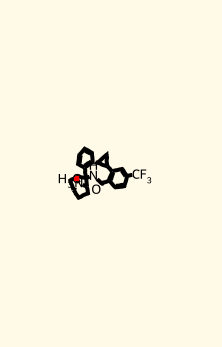 CN1C2CCC1C(NC(=O)c1ccc(C(F)(F)F)cc1C1CC1)(c1ccccc1)CC2